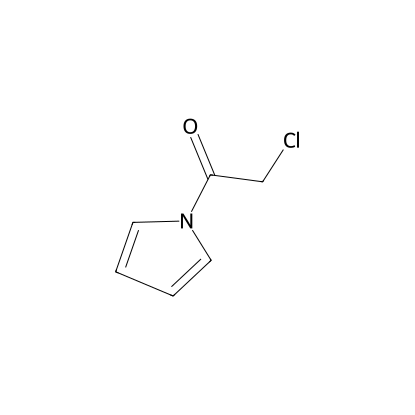 O=C(CCl)n1cccc1